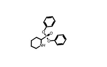 O=P(Oc1ccccc1)(Oc1ccccc1)C1CCCCN1